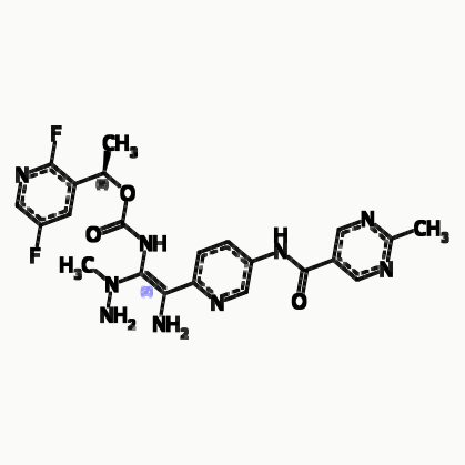 Cc1ncc(C(=O)Nc2ccc(/C(N)=C(\NC(=O)O[C@H](C)c3cc(F)cnc3F)N(C)N)nc2)cn1